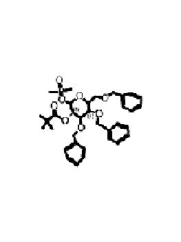 CC(C)(C)C(=O)O[C@@H]1C(OP(C)(C)=O)OC(COCc2ccccc2)[C@@H](OCc2ccccc2)C1OCc1ccccc1